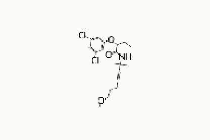 CCC(Oc1cc(Cl)cc(Cl)c1)C(=O)NC(C)(C)C#CCCCOC